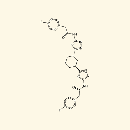 O=C(Cc1ccc(F)cc1)Nc1nnc([C@H]2CCC[C@H](c3nnc(NC(=O)Cc4ccc(F)cc4)s3)C2)s1